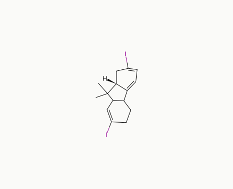 CC1(C)C2C=C(I)CCC2C2=CC=C(I)C[C@H]21